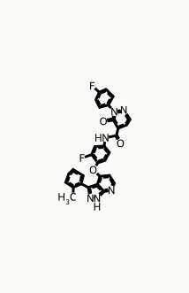 Cc1ccccc1-c1n[nH]c2nccc(Oc3ccc(NC(=O)c4ccnn(-c5ccc(F)cc5)c4=O)cc3F)c12